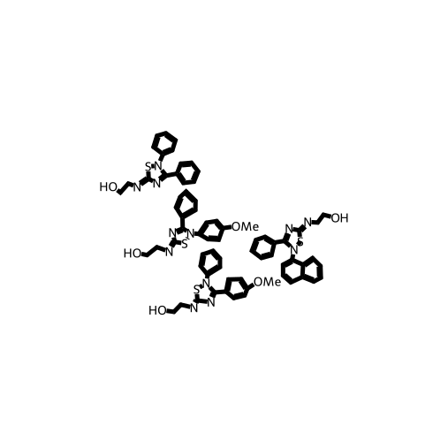 COc1ccc(-c2nc(=NCCO)sn2-c2ccccc2)cc1.COc1ccc(-n2sc(=NCCO)nc2-c2ccccc2)cc1.OCCN=c1nc(-c2ccccc2)n(-c2cccc3ccccc23)s1.OCCN=c1nc(-c2ccccc2)n(-c2ccccc2)s1